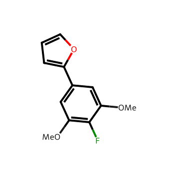 COc1cc(-c2ccco2)cc(OC)c1F